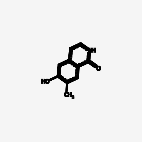 Cc1cc2c(=O)[nH]ccc2cc1O